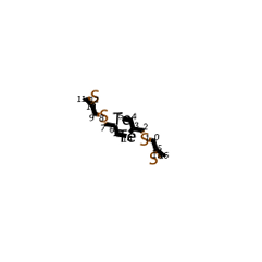 C(SCC1C[Te]C(CSCC2CS2)C[Te]1)C1CS1